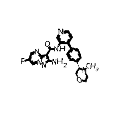 CN1CCOC[C@@H]1c1ccc(-c2ccncc2NC(=O)c2c(N)nn3cc(F)cnc23)cc1